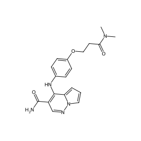 CN(C)C(=O)CCOc1ccc(Nc2c(C(N)=O)cnn3cccc23)cc1